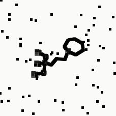 CCO[Si](CC)(CCCN1CCCCCC1)OCC